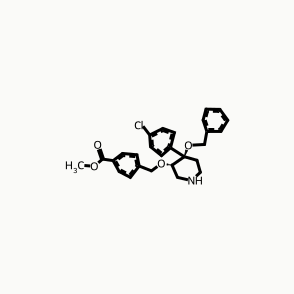 COC(=O)c1ccc(CO[C@H]2CNCC[C@@]2(OCc2ccccc2)c2ccc(Cl)cc2)cc1